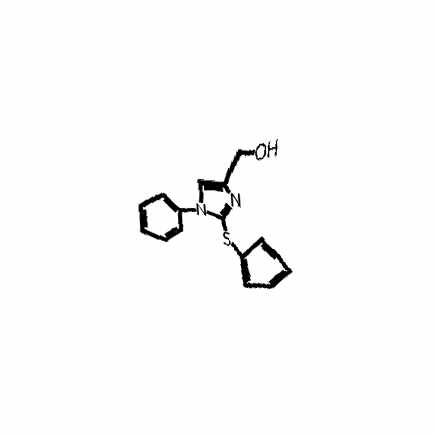 OCc1cn(-c2ccccc2)c(Sc2ccccc2)n1